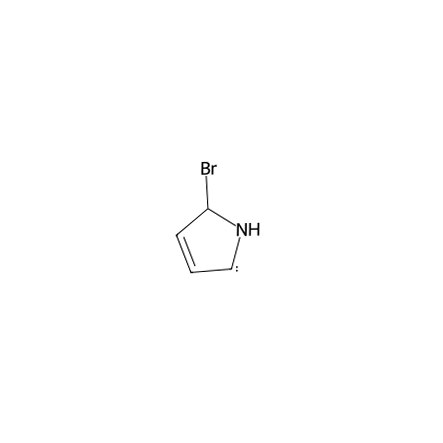 BrC1C=C[C]N1